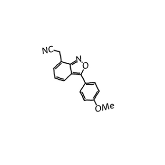 COc1ccc(-c2onc3c(CC#N)cccc23)cc1